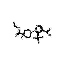 CCOC(=O)[C@]1(C)CC[C@@H](n2ncc(C(=O)O)c2C(F)(F)F)CC1